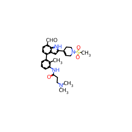 Cc1c(NC(=O)CCN(C)C)cccc1-c1ccc(C=O)c2[nH]c(C3=CCN(S(C)(=O)=O)CC3)cc12